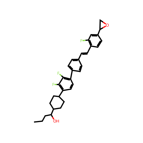 CCCC(O)C1CCC(c2ccc(-c3ccc(/C=C/c4ccc(C5CO5)cc4F)cc3)c(F)c2F)CC1